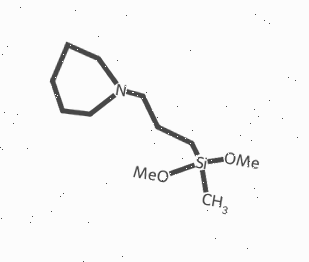 CO[Si](C)(CCCN1CCCCC1)OC